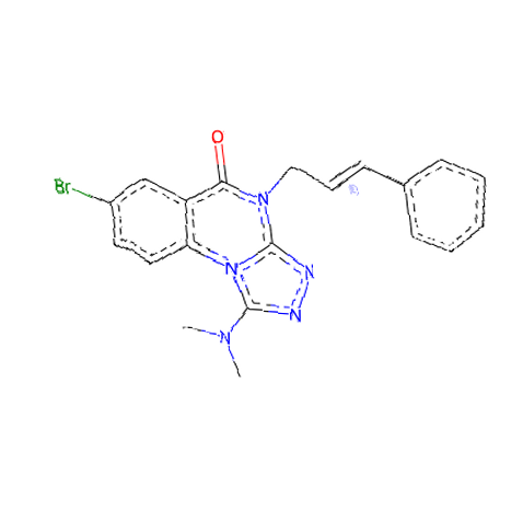 CN(C)c1nnc2n(C/C=C/c3ccccc3)c(=O)c3cc(Br)ccc3n12